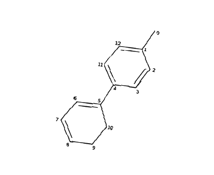 Cc1ccc(C2=CC=CCC2)cc1